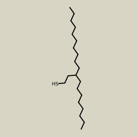 CCCCCCCCCCC(CCS)CCCCCCCC